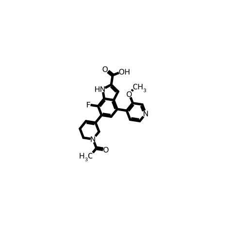 COc1cnccc1-c1cc(C2=CCCN(C(C)=O)C2)c(F)c2[nH]c(C(=O)O)cc12